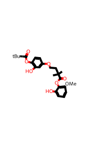 COc1cccc(O)c1OC(=O)C(C)(C)CCOc1ccc(OC(=O)C(C)(C)C)c(O)c1